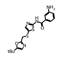 CC(C)(C)c1cnc(CSc2cnc(NC(=O)c3cccc(N)c3)s2)o1